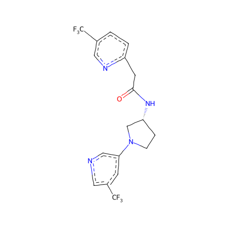 O=C(Cc1ccc(C(F)(F)F)cn1)N[C@@H]1CCN(c2cncc(C(F)(F)F)c2)C1